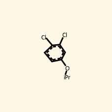 [CH2]C(C)Oc1ccc(Cl)c(Cl)c1